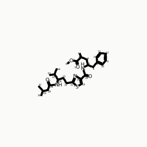 COC(=O)C(C)CC(Cc1ccccc1)NC(=O)c1csc(CCC(NC(=O)CC(C)C)C(C)C)n1